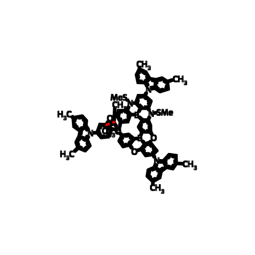 CSN1c2cc3c(cc2B2c4cc5c(cc4N(SC)c4cc(-n6c7ccc(C)cc7c7cc(C)ccc76)cc1c42)Oc1cc(-n2c4ccc(C)cc4c4cc(C)ccc42)cc2c1B5c1cc(C)ccc1O2)B1c2cc(C)ccc2Oc2cc(-n4c5ccc(C)cc5c5cc(C)ccc54)cc(c21)O3